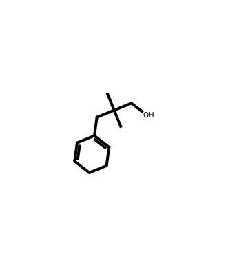 CC(C)(CO)CC1=CCCC=C1